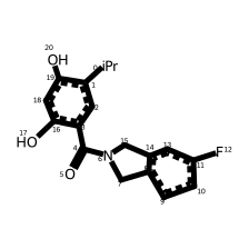 CC(C)c1cc(C(=O)N2Cc3ccc(F)cc3C2)c(O)cc1O